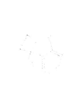 O=C(O)C1(c2ccccc2O)CCC1